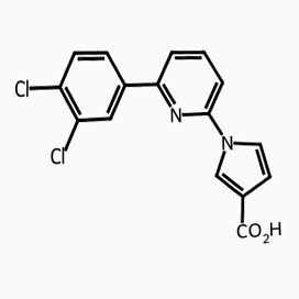 O=C(O)c1ccn(-c2cccc(-c3ccc(Cl)c(Cl)c3)n2)c1